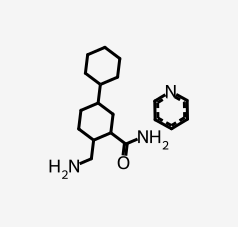 NCC1CCC(C2CCCCC2)CC1C(N)=O.c1ccncc1